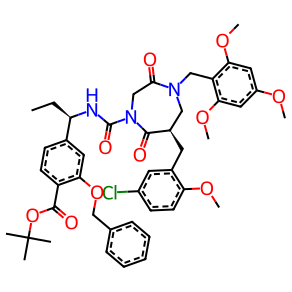 CC[C@@H](NC(=O)N1CC(=O)N(Cc2c(OC)cc(OC)cc2OC)C[C@@H](Cc2cc(Cl)ccc2OC)C1=O)c1ccc(C(=O)OC(C)(C)C)c(OCc2ccccc2)c1